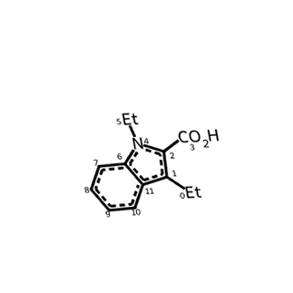 CCc1c(C(=O)O)n(CC)c2ccccc12